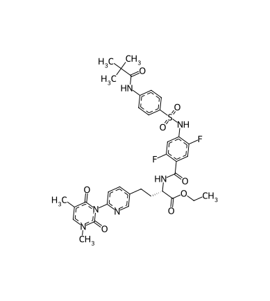 CCOC(=O)[C@H](CCc1ccc(-n2c(=O)c(C)cn(C)c2=O)nc1)NC(=O)c1cc(F)c(NS(=O)(=O)c2ccc(NC(=O)C(C)(C)C)cc2)cc1F